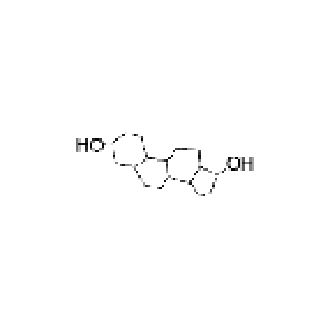 OC1CCC2C(CCC3C4CCC(O)C4CCC23)C1